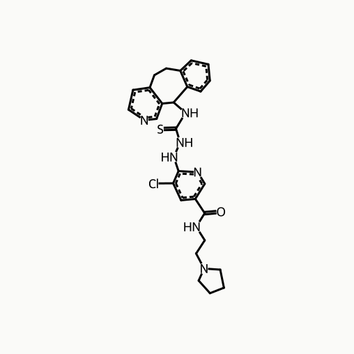 O=C(NCCN1CCCC1)c1cnc(NNC(=S)NC2c3ccccc3CCc3ccncc32)c(Cl)c1